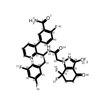 NC(=O)c1cc(-c2cccnc2[C@H](Cc2cc(F)cc(F)c2)NC(=O)Cn2nc(C(F)(F)F)c3c2C(F)(F)CCC3=O)ccc1F